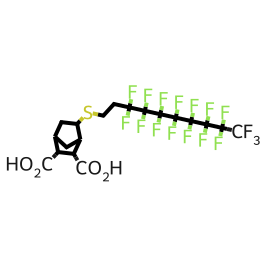 O=C(O)C1C2CC(SCCC(F)(F)C(F)(F)C(F)(F)C(F)(F)C(F)(F)C(F)(F)C(F)(F)C(F)(F)F)C(C2)C1C(=O)O